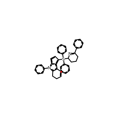 C1=CC(S(c2ccccc2)(c2ccccc2)C2CCCC(c3ccccc3)=N2)=c2c3c(n(-c4ccccc4)c2=1)CCC=C3